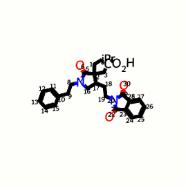 CC(C)CC1(CC(=O)O)C(=O)N(CCc2ccccc2)CC1CCN1C(=O)c2ccccc2C1=O